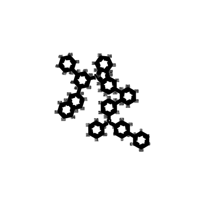 c1ccc(-c2ccc(N(c3ccccc3)c3cccc(-c4ccccc4-c4ccc5c(c4)c4ccccc4n5-c4cc(-c5ccccc5)cc(-c5ccc6ccccc6c5)c4)c3)cc2)cc1